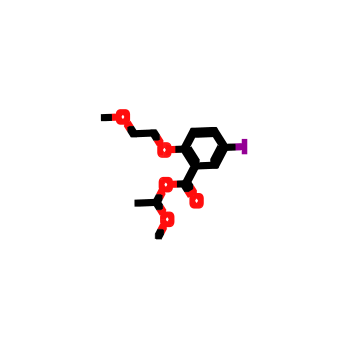 COCCOc1ccc(I)cc1C(=O)OC(C)OC